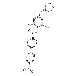 O=C(Cc1c(Cl)cc(CN2CCCC2)cc1Cl)N1CCN(c2ccc([N+](=O)[O-])cc2)CC1